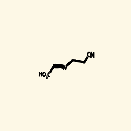 N#CCCN=CC(=O)O